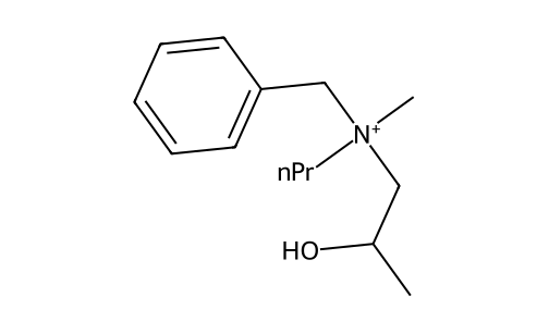 CCC[N+](C)(Cc1ccccc1)CC(C)O